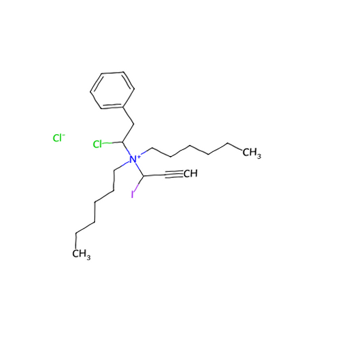 C#CC(I)[N+](CCCCCC)(CCCCCC)C(Cl)Cc1ccccc1.[Cl-]